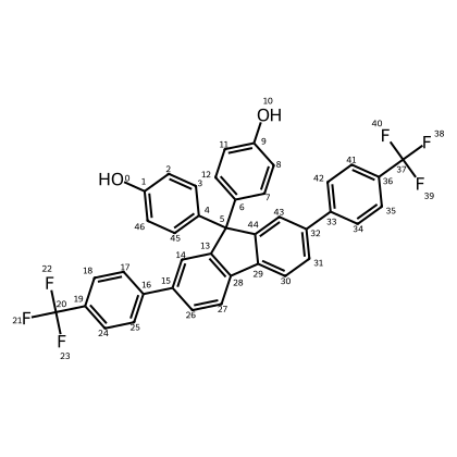 Oc1ccc(C2(c3ccc(O)cc3)c3cc(-c4ccc(C(F)(F)F)cc4)ccc3-c3ccc(-c4ccc(C(F)(F)F)cc4)cc32)cc1